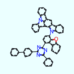 c1ccc(-c2ccc(-c3nc(-c4ccccc4)nc(-c4ccc(-n5c6ccccc6c6cc7c8ccccc8n8c9ccccc9c(c65)c78)c5oc6ccccc6c45)n3)cc2)cc1